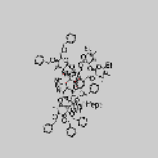 CCCCCCCOP(=O)(O)O[C@@H]1C(OCc2ccccc2)[C@H](OCc2ccccc2)C(OCc2ccccc2)C(C)[C@H]1O[C@H]1OC(COCc2ccccc2)[C@@H](O[C@H]2OC(CO[C@H]3OC(CC)[C@@H](C)[C@H](C)C3O[C@H]3OC(CC)[C@@H](C)[C@H](C)C3OCc3ccccc3)[C@@H](O[C@@H]3OC(COCc4ccccc4)[C@H](OCc4ccccc4)[C@H](C)C3NC(C)=O)[C@H](C)C2C)[C@H](C)C1N=[N+]=[N-]